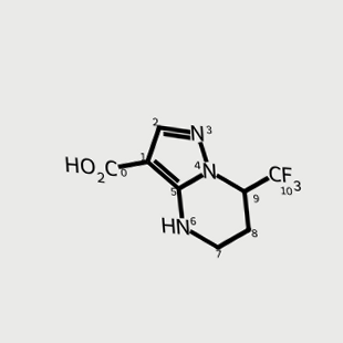 O=C(O)c1cnn2c1NCCC2C(F)(F)F